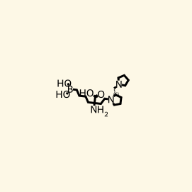 NC(CCCCB(O)O)(CCN1CCC[C@H]1CN1CCCC1)C(=O)O